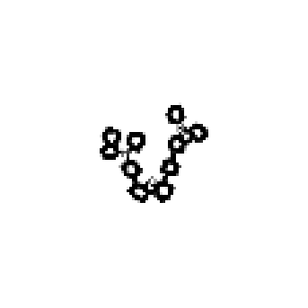 c1ccc(N(c2ccc(-c3cccc4c3oc3c(-c5ccc(-c6ccc7c(c6)c6ccccc6n7-c6ccccc6)cc5)cccc34)cc2)c2cccc3ccccc23)cc1